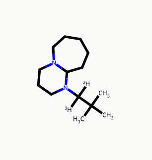 [2H]C([2H])(N1CCCN2CCCCCC21)C(C)(C)C